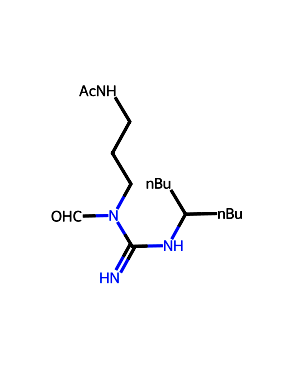 CCCCC(CCCC)NC(=N)N(C=O)CCCNC(C)=O